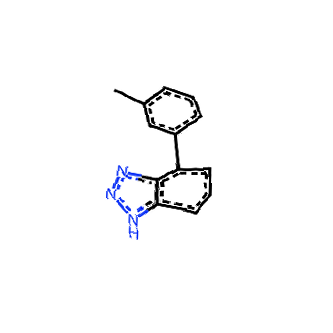 Cc1cccc(-c2cccc3[nH]nnc23)c1